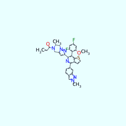 C=CC(=O)N1Cc2cc(-c3nc(-c4ccc5cn(C)nc5c4)c4ccsc4c3-c3c(F)cc(F)cc3OC)nn2CC1C